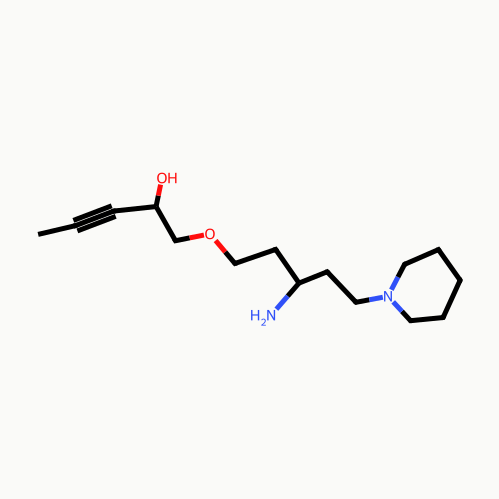 CC#CC(O)COCCC(N)CCN1CCCCC1